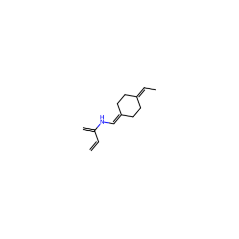 C=CC(=C)NC=C1CCC(=CC)CC1